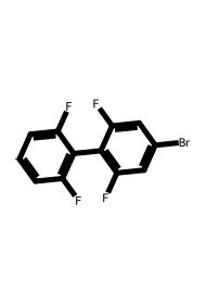 Fc1c[c]cc(F)c1-c1c(F)cc(Br)cc1F